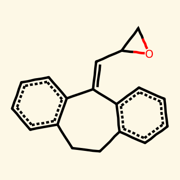 C(=C1c2ccccc2CCc2ccccc21)C1CO1